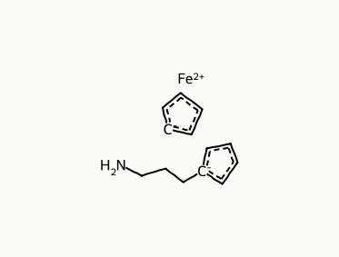 NCCC[c-]1cccc1.[Fe+2].c1cc[cH-]c1